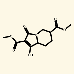 COC(=O)C1=C(O)C2CCC(C(=O)OC)CN2C1=O